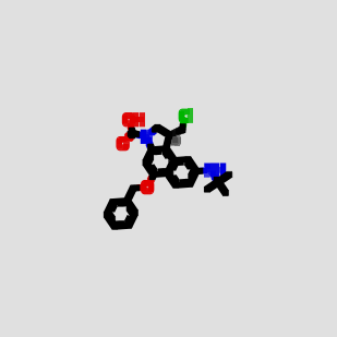 CC(C)(C)Nc1ccc2c(OCc3ccccc3)cc3c(c2c1)[C@H](CCl)CN3C(=O)O